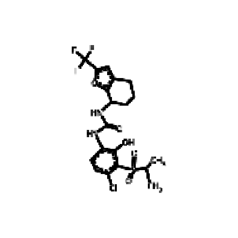 CC(C)S(=O)(=O)c1c(Cl)ccc(NC(=O)NC2CCCc3cc(C(F)(F)F)oc32)c1O